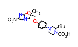 CC1(COc2ccc(N3CCN(C(=O)O)C(C(C)(C)C)C3)cc2)Cn2cc([N+](=O)[O-])nc2O1